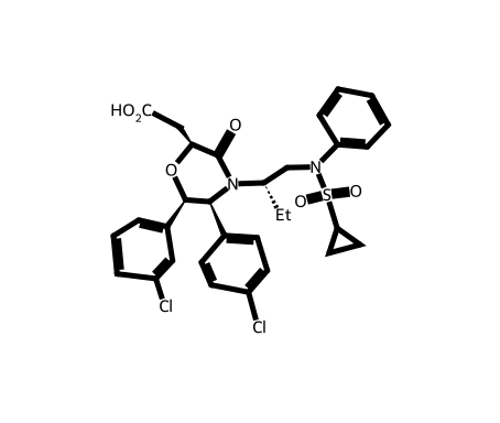 CC[C@@H](CN(c1ccccc1)S(=O)(=O)C1CC1)N1C(=O)[C@H](CC(=O)O)O[C@H](c2cccc(Cl)c2)[C@@H]1c1ccc(Cl)cc1